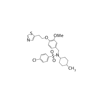 COc1cc(CN(C2CCC(C)CC2)S(=O)(=O)c2ccc(Cl)cc2)ccc1OCCc1cncs1